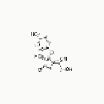 O=C(O)/C=C\C(=O)OC1=C(O)C(=O)O[C@@H]1[C@@H](O)CO